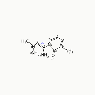 CN(N)/C=C(\N)n1cccc(N)c1=O